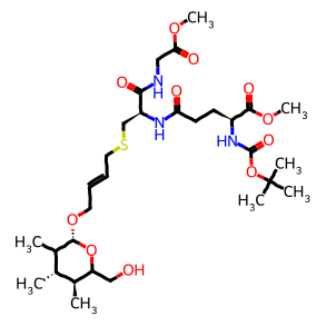 COC(=O)CNC(=O)[C@H](CSC/C=C/CO[C@@H]1OC(CO)[C@@H](C)[C@H](C)C1C)NC(=O)CC[C@H](NC(=O)OC(C)(C)C)C(=O)OC